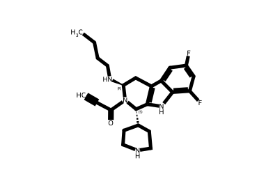 C#CC(=O)N1[C@@H](NCCCC)Cc2c([nH]c3c(F)cc(F)cc23)[C@@H]1C1CCNCC1